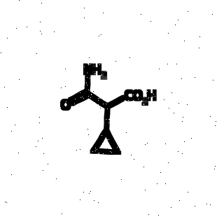 NC(=O)C(C(=O)O)C1CC1